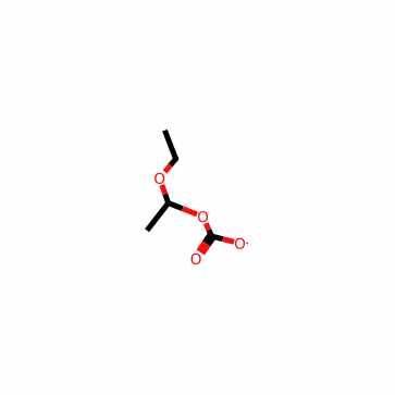 CCOC(C)OC([O])=O